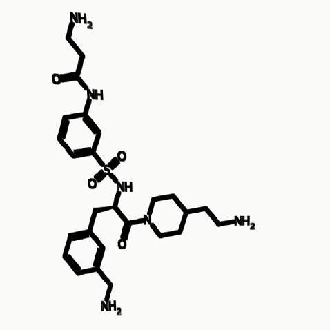 NCCC(=O)Nc1cccc(S(=O)(=O)N[C@H](Cc2cccc(CN)c2)C(=O)N2CCC(CCN)CC2)c1